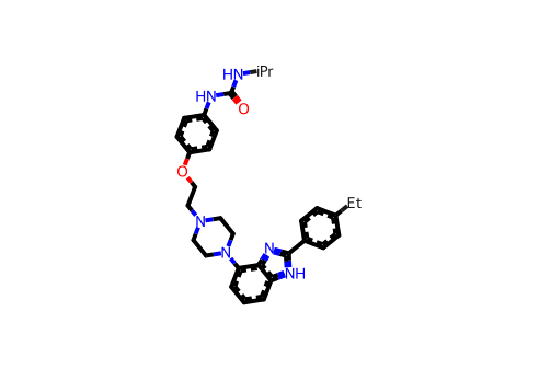 CCc1ccc(-c2nc3c(N4CCN(CCOc5ccc(NC(=O)NC(C)C)cc5)CC4)cccc3[nH]2)cc1